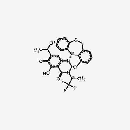 CC(C)c1cn2c(c(O)c1=O)C(=O)N([C@H](C)C(F)(F)F)CN2[C@@H]1c2ccccc2SCc2cccc(Cl)c21